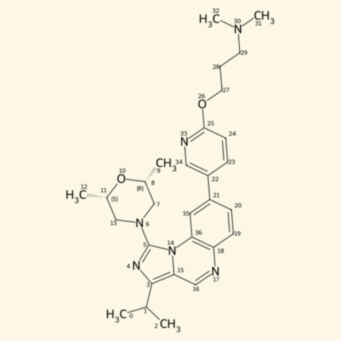 CC(C)c1nc(N2C[C@@H](C)O[C@@H](C)C2)n2c1cnc1ccc(-c3ccc(OCCCN(C)C)nc3)cc12